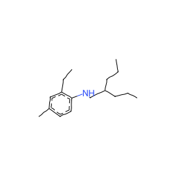 CCCC(CCC)CNc1ccc(C)cc1CC